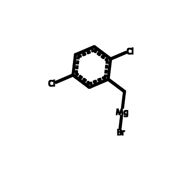 Clc1ccc(Cl)c([CH2][Mg][Br])c1